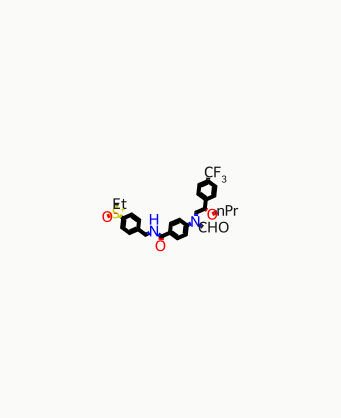 CCCOC(CN(C=O)c1ccc(C(=O)NCc2ccc([S+]([O-])CC)cc2)cc1)c1ccc(C(F)(F)F)cc1